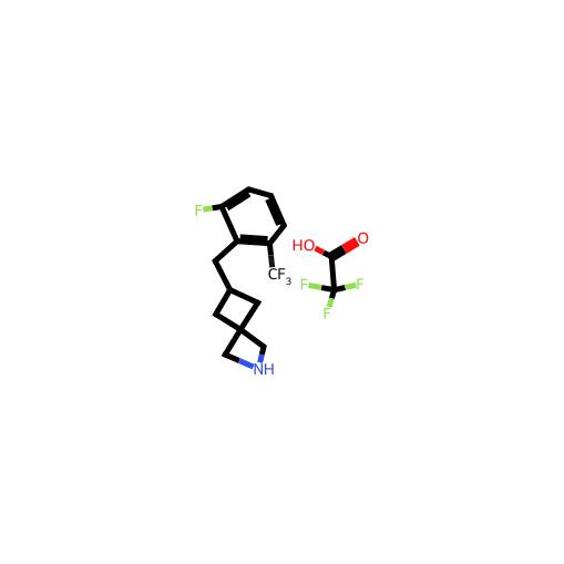 Fc1cccc(C(F)(F)F)c1CC1CC2(CNC2)C1.O=C(O)C(F)(F)F